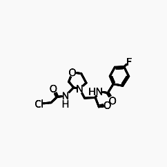 O=CC(CN1CCOCC1NC(=O)CCl)NC(=O)c1ccc(F)cc1